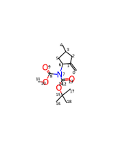 C=C1CC(C)CC1N(C(=O)OC)C(=O)OC(C)(C)C